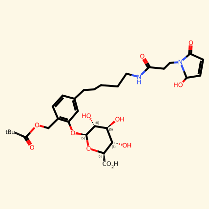 CC(C)(C)C(=O)OCc1ccc(CCCCCNC(=O)CCN2C(=O)C=CC2O)cc1O[C@@H]1O[C@H](C(=O)O)[C@@H](O)[C@H](O)[C@H]1O